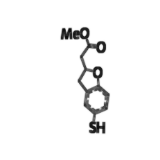 COC(=O)CC1Cc2cc(S)ccc2O1